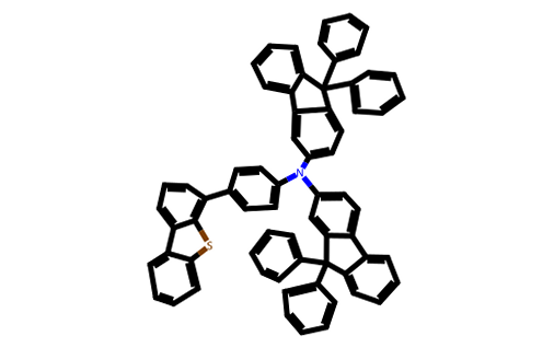 c1ccc(C2(c3ccccc3)c3ccccc3-c3cc(N(c4ccc(-c5cccc6c5sc5ccccc56)cc4)c4ccc5c(c4)C(c4ccccc4)(c4ccccc4)c4ccccc4-5)ccc32)cc1